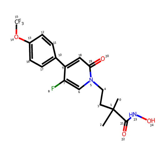 CC(C)(CCn1cc(F)c(-c2ccc(OC(F)(F)F)cc2)cc1=O)C(=O)NO